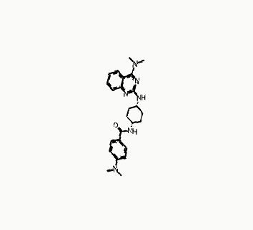 CN(C)c1ccc(C(=O)N[C@H]2CC[C@@H](Nc3nc(N(C)C)c4ccccc4n3)CC2)cc1